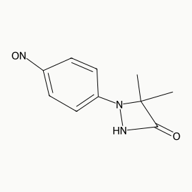 CC1(C)C(=O)NN1c1ccc(N=O)cc1